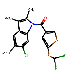 COc1cc2c(OC(C)=O)c(C)n(C(=O)c3csc(SC(F)F)c3)c2cc1Cl